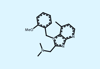 COc1ccccc1Cn1c(CN(C)C)nc2nccc(C)c21